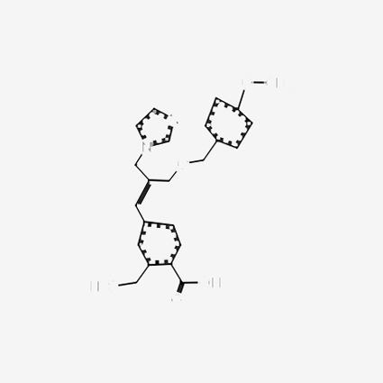 CCc1cc(/C=C(\COCc2ccc(OC)cc2)Cn2ccnc2)ccc1C(=O)O